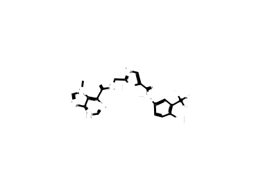 Cn1cnc2ncnc(C(=O)NCc3ncc(C(=O)Nc4ccc(Cl)c(C(F)(F)F)c4)s3)c21